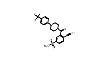 C#Cc1ccc(S(C)(=O)=O)cc1C(=O)N1CCN(c2ccc(C(F)(F)F)cc2)CC1